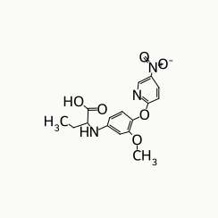 CCC(Nc1ccc(Oc2ccc([N+](=O)[O-])cn2)c(OC)c1)C(=O)O